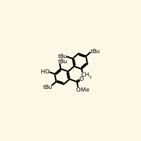 COC(=O)c1cc(C(C)(C)C)c(O)c(C(C)(C)C)c1-c1c(C)cc(C(C)(C)C)cc1C(C)(C)C